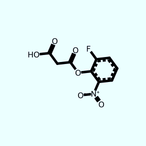 O=C(O)CC(=O)Oc1c(F)cccc1[N+](=O)[O-]